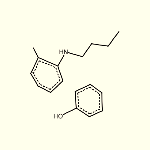 CCCCNc1ccccc1C.Oc1ccccc1